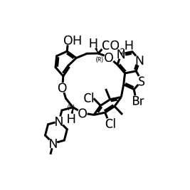 Cc1c(Cl)c2c(Cl)c(C)c1-c1c(Br)sc3ncnc(c13)O[C@@H](C(=O)O)Cc1cc(ccc1O)OC[C@@H](CN1CCN(C)CC1)O2